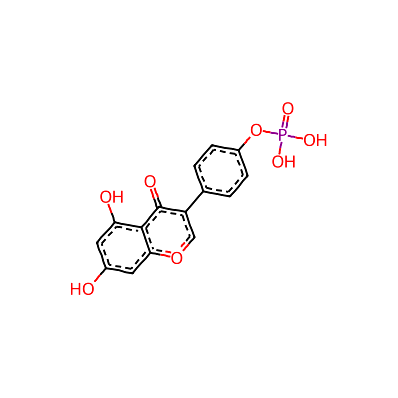 O=c1c(-c2ccc(OP(=O)(O)O)cc2)coc2cc(O)cc(O)c12